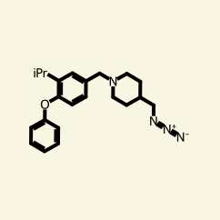 CC(C)c1cc(CN2CCC(CN=[N+]=[N-])CC2)ccc1Oc1ccccc1